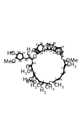 C=C1[C@H](C)C[C@H](C)/C=C/C=C/C=C(\C)[C@@H](OC)C[C@@H]2CC[C@@H](C)[C@@](O)(O2)C(=O)C(=O)N2CCCC[C@H]2C(=O)O[C@H]([C@H](C)C[C@@H]2CC[C@@H](O)[C@H](OC)C2)CC(=O)[C@H](C)/C=C(\C)[C@@H](OC(C)C)[C@H]1C